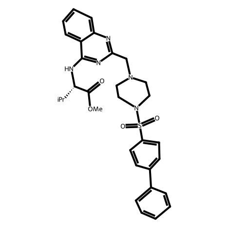 COC(=O)[C@@H](Nc1nc(CN2CCN(S(=O)(=O)c3ccc(-c4ccccc4)cc3)CC2)nc2ccccc12)C(C)C